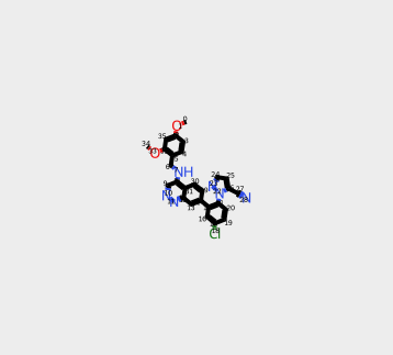 COc1ccc(CNc2cnnc3cc(-c4cc(Cl)ccc4-n4nccc4C#N)ccc23)c(OC)c1